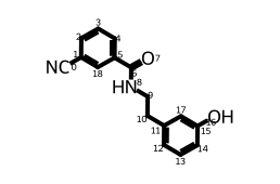 N#Cc1cccc(C(=O)NCCc2cccc(O)c2)c1